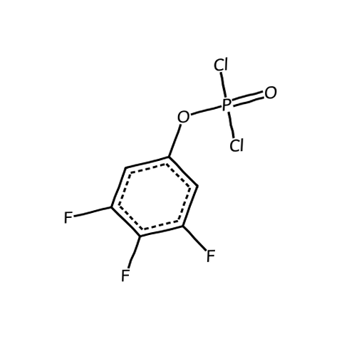 O=P(Cl)(Cl)Oc1cc(F)c(F)c(F)c1